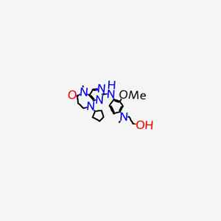 COc1cc(N(C)CCO)ccc1Nc1ncc2c(n1)N(C1CCCC1)CCC(=O)N2C